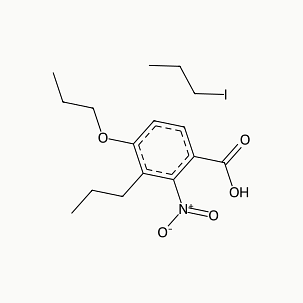 CCCI.CCCOc1ccc(C(=O)O)c([N+](=O)[O-])c1CCC